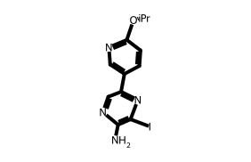 CC(C)Oc1ccc(-c2cnc(N)c(I)n2)cn1